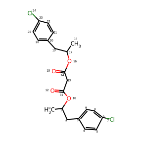 CC(Cc1ccc(Cl)cc1)OC(=O)CC(=O)OC(C)Cc1ccc(Cl)cc1